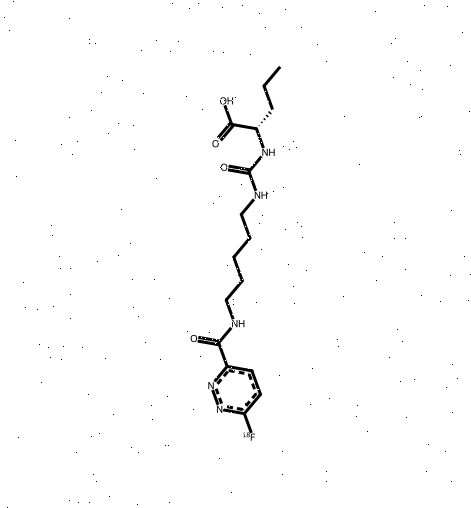 CCC[C@H](NC(=O)NCCCCCNC(=O)c1ccc([18F])nn1)C(=O)O